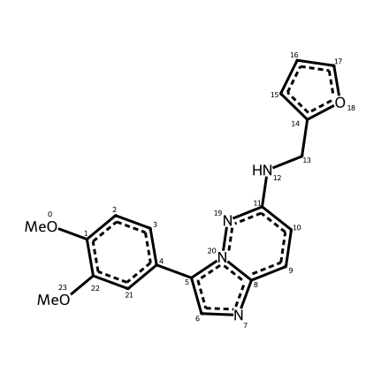 COc1ccc(-c2cnc3ccc(NCc4ccco4)nn23)cc1OC